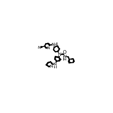 N#Cc1ccc(N[C@H]2CC[C@H](N(C(=O)NCc3ccccc3)c3ccc(Nc4ccccn4)cc3)CC2)nc1